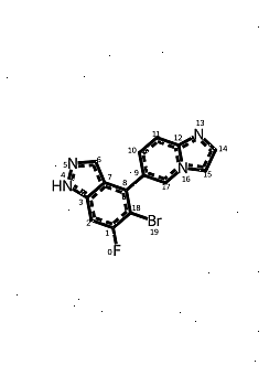 Fc1cc2[nH]ncc2c(-c2ccc3nccn3c2)c1Br